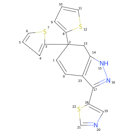 C1=CC(c2cccs2)(c2cccs2)Cc2[nH]nc(-c3cncs3)c21